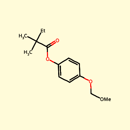 CCC(C)(C)C(=O)Oc1ccc(OCOC)cc1